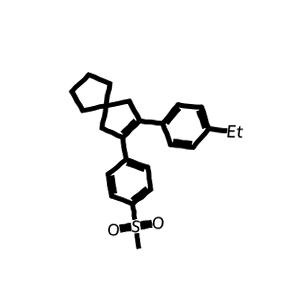 CCc1ccc(C2=C(c3ccc(S(C)(=O)=O)cc3)CC3(CCCC3)C2)cc1